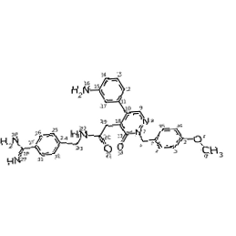 COc1ccc(Cn2ncc(-c3cccc(N)c3)c(CC(=O)NCc3ccc(C(=N)N)cc3)c2=O)cc1